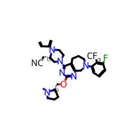 C=CC(=C)N1CCN(c2nc(OC[C@@H]3CCCN3C)nc3c2CCCN(c2cccc(F)c2C(F)(F)F)C3)C[C@@H]1CC#N